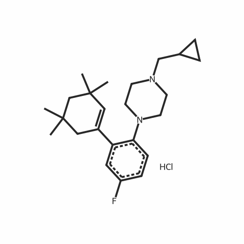 CC1(C)C=C(c2cc(F)ccc2N2CCN(CC3CC3)CC2)CC(C)(C)C1.Cl